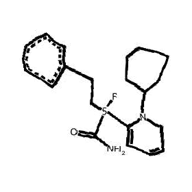 NC(=O)S(F)(CCc1ccccc1)C1=CC=CCN1C1CCCCC1